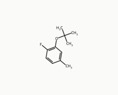 Cc1ccc(F)c(OC(C)(C)C)c1